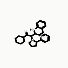 O=C(C1CCCCC1)C(C1CCc2ccccc2N1)N1CCCC1c1ccccn1